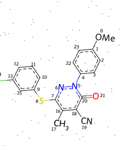 COc1ccc(-n2nc(Sc3cccc(Cl)c3)c(C)c(C#N)c2=O)cc1